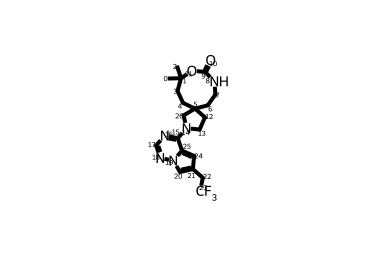 CC1(C)CCC2(CCNC(=O)O1)CCN(c1ncnn3cc(CC(F)(F)F)cc13)C2